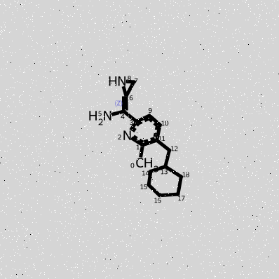 Cc1nc(/C(N)=C2\CN2)ccc1CC1CCCCC1